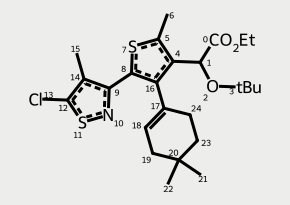 CCOC(=O)C(OC(C)(C)C)c1c(C)sc(-c2nsc(Cl)c2C)c1C1=CCC(C)(C)CC1